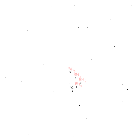 B.B.B.B.[K]